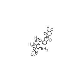 Bc1cc(C(B)Oc2cccc3c2CN(C2CCC(=O)NC2=O)C3=O)c(B)cc1CN1CCOCC1=O